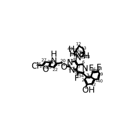 Oc1cc(-c2ncc3c(N4C[C@H]5CC[C@@H](C4)N5)nc(OCc4cc5oc(Cl)cc5[nH]4)nc3c2F)c2c(F)c(F)ccc2c1